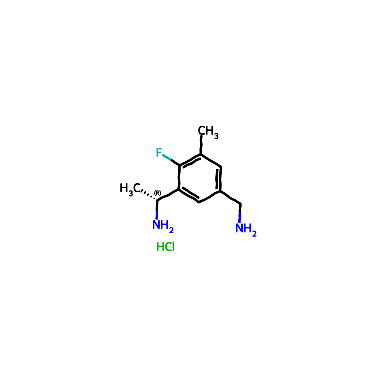 Cc1cc(CN)cc([C@@H](C)N)c1F.Cl